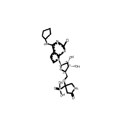 O=C1CC(OC[C@H]2O[C@@H](n3ccc4c(NC5CCCC5)nc(Cl)nc43)[C@H](O)[C@@H]2O)(P(=O)(O)O)CN1